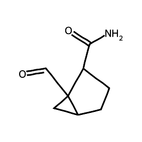 NC(=O)C1CCC2CC21C=O